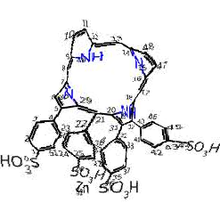 O=S(=O)(O)c1ccc(C2=Cc3cc4ccc(cc5nc(cc6[nH]c(c(-c7ccc(S(=O)(=O)O)cc7)c2n3)c(-c2ccc(S(=O)(=O)O)cc2)c6-c2ccc(S(=O)(=O)O)cc2)C=C5)[nH]4)cc1.[Zn]